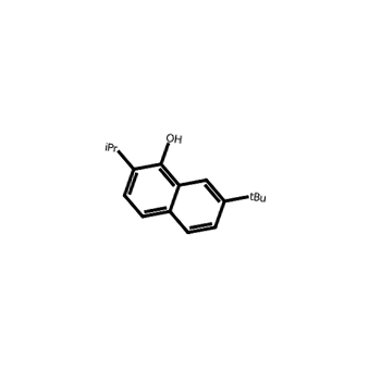 CC(C)c1ccc2ccc(C(C)(C)C)cc2c1O